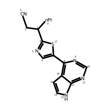 CCCC(CC#N)c1ncc(-c2ncnc3[nH]ccc23)s1